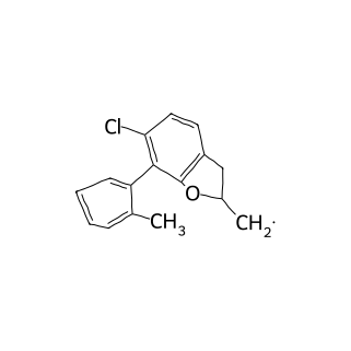 [CH2]C1Cc2ccc(Cl)c(-c3ccccc3C)c2O1